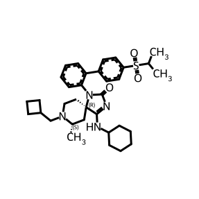 CC(C)S(=O)(=O)c1ccc(-c2ccccc2N2C(=O)N=C(NC3CCCCC3)[C@]23CCN(CC2CCC2)[C@@H](C)C3)cc1